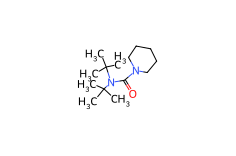 CC(C)(C)N(C(=O)N1CCCCC1)C(C)(C)C